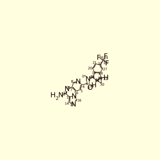 CN(C(=O)c1cc2c(cn1)nc(N)c1cncn12)[C@H]1c2ccc(C(F)(F)F)cc2[C@@H]2C[C@@H]21